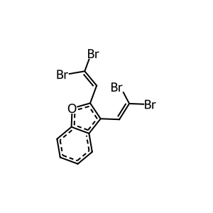 BrC(Br)=Cc1oc2ccccc2c1C=C(Br)Br